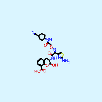 N#CC1CCC(NC(=O)CO/N=C(\C(=O)N[C@H]2Cc3cccc(C(=O)O)c3OB2O)c2csc(N)n2)CC1